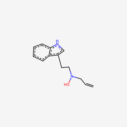 C=CCN(O)CCc1c[nH]c2ccccc12